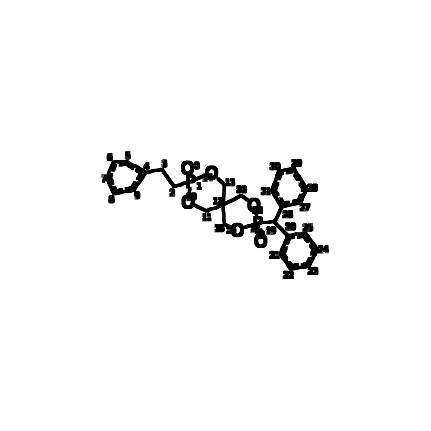 O=P1(CCc2ccccc2)OCC2(CO1)COP(=O)(C(c1ccccc1)c1ccccc1)OC2